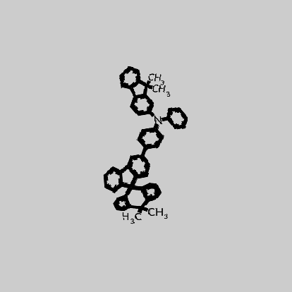 CC1(C)c2ccccc2-c2ccc(N(c3ccccc3)c3ccc(-c4ccc5c(c4)-c4ccccc4C54c5ccccc5C(C)(C)c5ccccc54)cc3)cc21